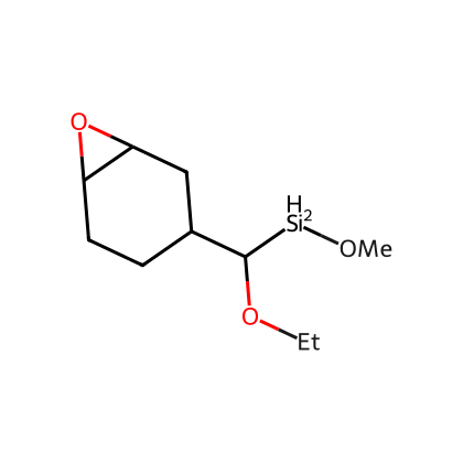 CCOC([SiH2]OC)C1CCC2OC2C1